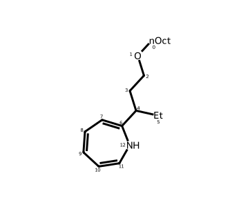 CCCCCCCCOCCC(CC)C1=CC=CC=CN1